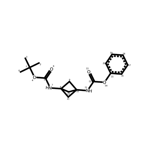 CC(C)(C)OC(=O)NC12CC(NC(=O)Oc3ccccc3)(C1)C2